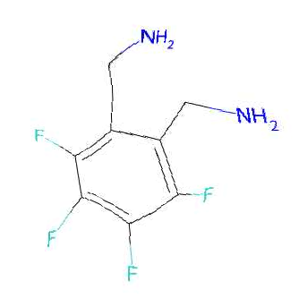 NCc1c(F)c(F)c(F)c(F)c1CN